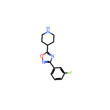 Fc1cccc(-c2noc(C3CCNCC3)n2)c1